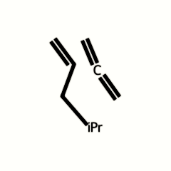 C=C=C.C=CCC(C)C